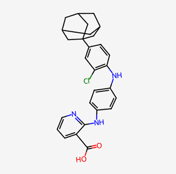 O=C(O)c1cccnc1Nc1ccc(Nc2ccc(C34CC5CC(CC(C5)C3)C4)cc2Cl)cc1